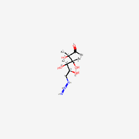 CC(=O)C(=O)[C@](O)(C(C)=O)[C@@](O)(C(C)=O)[C@@](O)(C(C)=O)[C@@H](O)CN=[N+]=[N-]